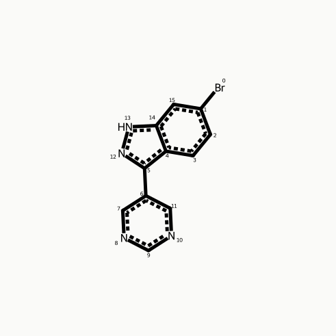 Brc1ccc2c(-c3cncnc3)n[nH]c2c1